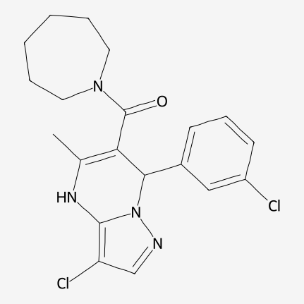 CC1=C(C(=O)N2CCCCCC2)C(c2cccc(Cl)c2)n2ncc(Cl)c2N1